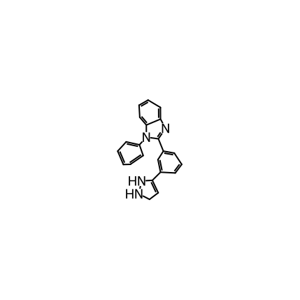 C1=C(c2cccc(-c3nc4ccccc4n3-c3ccccc3)c2)NNC1